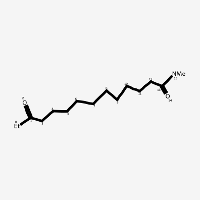 CCC(=O)CCCCCCCCCCC(=O)NC